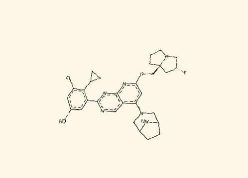 Oc1cc(Cl)c(C2CC2)c(-c2ncc3c(N4CC5CCC(C4)N5)cc(OC[C@@]45CCCN4C[C@H](F)C5)nc3n2)c1